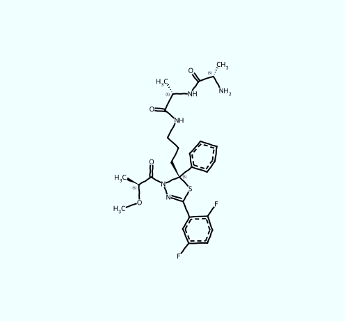 CO[C@@H](C)C(=O)N1N=C(c2cc(F)ccc2F)S[C@@]1(CCCNC(=O)[C@H](C)NC(=O)[C@H](C)N)c1ccccc1